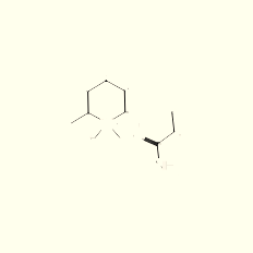 CC1CCCC[Si]1(C)C.CCC(N)=O